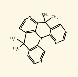 CC1(C)c2ccncc2N2c3ncncc3C(C)(C)c3nccc1c32